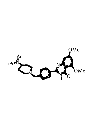 COc1cc(OC)c2c(=O)[nH]c(-c3ccc(CN4CCC(N(C(C)=O)C(C)C)CC4)cc3)nc2c1